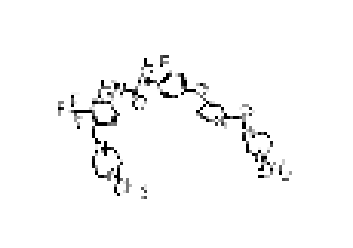 CN1CCN(Cc2ccc(NC(=O)Nc3ccc(Oc4ccnc(C(=O)N5CCN(C)CC5)c4)cc3F)cc2C(F)(F)F)CC1